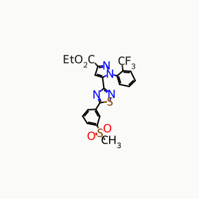 CCOC(=O)c1cc(-c2nsc(-c3cccc(S(C)(=O)=O)c3)n2)n(-c2ccccc2C(F)(F)F)n1